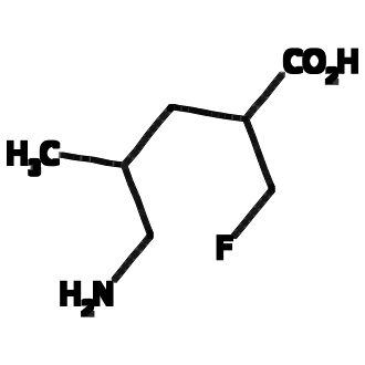 CC(CN)CC(CF)C(=O)O